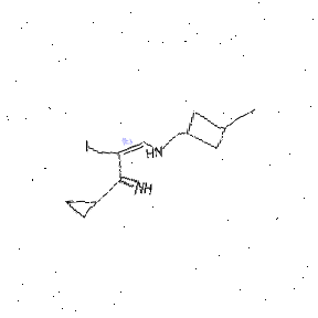 CC1CC(N/C=C(/I)C(=N)C2CC2)C1